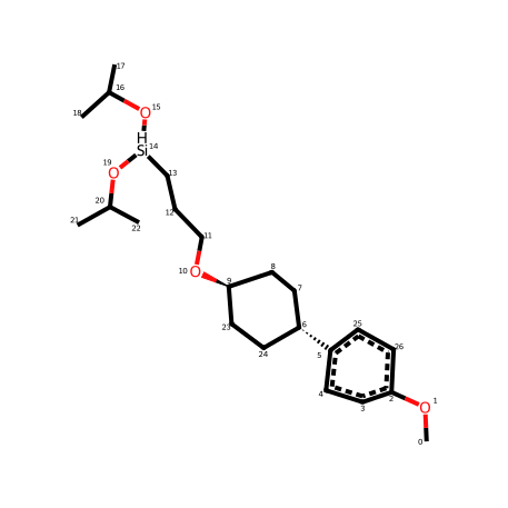 COc1ccc([C@H]2CC[C@H](OCCC[SiH](OC(C)C)OC(C)C)CC2)cc1